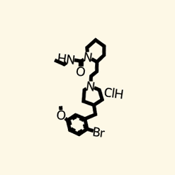 CCNC(=O)N1CCCCC1CCN1CCC(Cc2cc(OC)ccc2Br)CC1.Cl